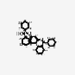 O[PH](Oc1cccc(OP(C2CCCCC2)C2CCCCC2)c1)(C1CCCCC1)C1CCCCC1